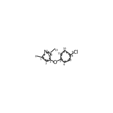 Cc1[c]c(Oc2ccc(Cl)cc2)n(C)n1